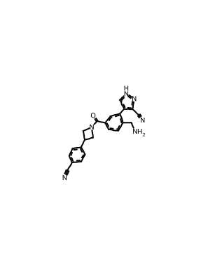 N#Cc1ccc(C2CN(C(=O)c3ccc(CN)c(-c4c[nH]nc4C#N)c3)C2)cc1